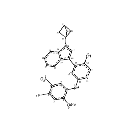 COc1cc(F)c([N+](=O)[O-])cc1Nc1ncc(C#N)c(-c2cn(C34CC(C3)C4)c3ccccc23)n1